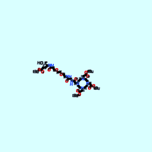 CC(C)(C)OC(=O)CC[C@H](NC(=O)CCOCCOCCNC(=O)CNC(=O)CN1CCN(CC(=O)OC(C)(C)C)CCN(CC(=O)OC(C)(C)C)CCN(CC(=O)OC(C)(C)C)CC1)C(=O)O